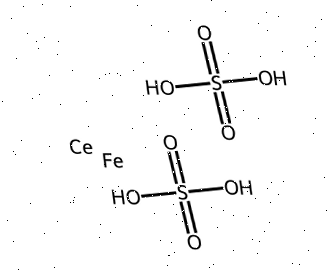 O=S(=O)(O)O.O=S(=O)(O)O.[Ce].[Fe]